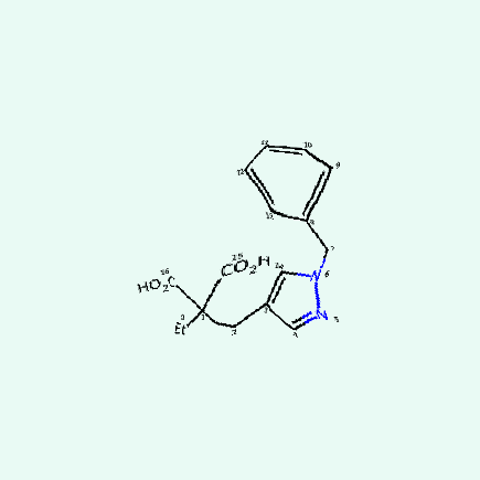 CCC(Cc1cnn(Cc2ccccc2)c1)(C(=O)O)C(=O)O